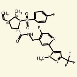 C=C[C@@H]1C[C@@H](C(=O)NCc2cc(-c3cc(C(F)(F)F)nn3C)ncc2F)N(S(=O)(=O)c2ccc(F)cc2)[C@H]1C